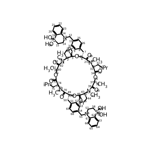 CC(C)C[C@H]1C(=O)O[C@H](Cc2ccc(CN3CCS(O)(O)c4ccccc43)cc2)C(=O)N(C)[C@@H](CC(C)C)C(=O)O[C@H](C)C(=O)N(C)[C@@H](CC(C)C)C(=O)O[C@H](Cc2ccc(CN3CCS(O)(O)c4ccccc43)cc2)C(=O)N(C)[C@@H](CC(C)C)C(=O)O[C@H](C)C(=O)N1C